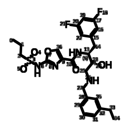 CCCS(=O)(=O)Nc1nc(C(=O)N[C@@H](Cc2cc(F)cc(F)c2)[C@H](O)CNCc2cccc(CC)c2)co1